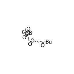 CCC(C)C(=O)CCCCOC(=O)CCC(=O)OC1C2CC3C1OC(=O)C3(C#N)C2